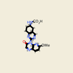 COc1ccc2ncc(=O)n(-c3ncc4c(n3)CCC(NC(=O)O)C4)c2n1